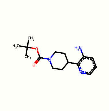 CC(C)(C)OC(=O)N1CCC(c2ncccc2N)CC1